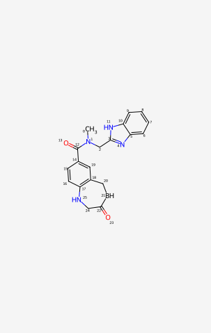 CN(Cc1nc2ccccc2[nH]1)C(=O)c1ccc2c(c1)CBC(=O)CN2